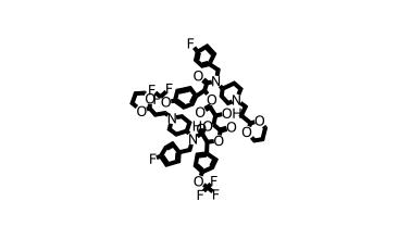 O=C(OC(C(=O)N(Cc1ccc(F)cc1)C1CCN(CCC2OCCCO2)CC1)c1ccc(OC(F)(F)F)cc1)C(O)C(O)C(=O)OC(C(=O)N(Cc1ccc(F)cc1)C1CCN(CCC2OCCCO2)CC1)c1ccc(OC(F)(F)F)cc1